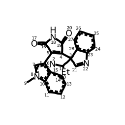 CCC(N)C1(C2=C(c3cn(C)c4ccccc34)C(=O)NC2=O)C=Nc2ccccc21